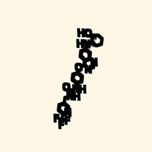 O=C(NCc1ccc(C(F)(F)F)nc1)Nc1ccc(Oc2ncnc3cc(N[C@@H]4CCCC[C@H]4O)ccc23)cc1